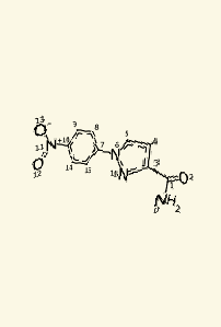 NC(=O)c1ccn(-c2ccc([N+](=O)[O-])cc2)n1